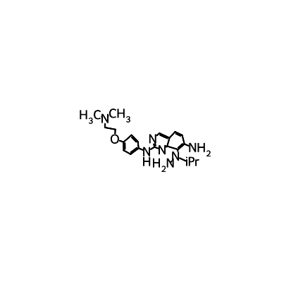 CC(C)N(N)c1c(N)ccc2cnc(Nc3ccc(OCCN(C)C)cc3)nc12